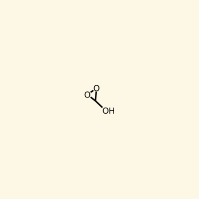 OC1OO1